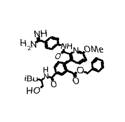 CCC(C)C(CO)NC(=O)c1ccc(-c2ccc(OC)nc2C(=O)Nc2ccc(C(=N)N)cc2)c(C(=O)OCc2ccccc2)c1